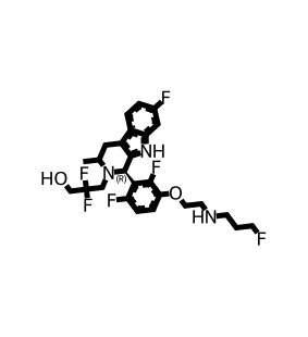 CC1Cc2c([nH]c3cc(F)ccc23)[C@@H](c2c(F)ccc(OCCNCCCF)c2F)N1CC(F)(F)CO